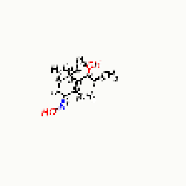 C=CC(O)C1=C(C)C(=NO)CCC1(C)C